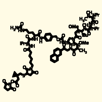 CC[C@H](C)C([C@@H](CC(=O)N1C[C@@H](NC(=O)OCc2ccc(NC(=O)C(CCCNC(N)=O)NC(=O)[C@@H](NC(=O)CCCCCN3C(=O)CC(SCC4(CC(=O)ON5C(=O)CCC5=O)CC4)C3=O)C(C)C)cc2)C[C@H]1[C@H](OC)[C@@H](C)C(=O)NCC(=O)c1ccc2ccccc2c1)OC)N(C)C(=O)[C@@H](NC(=O)[C@H](C(C)C)N(C)C)C(C)C